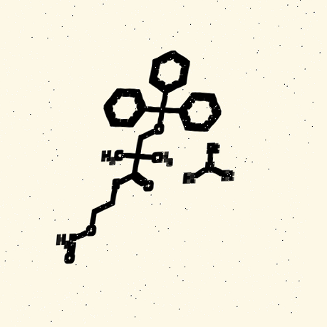 CC(C)(COC(c1ccccc1)(c1ccccc1)c1ccccc1)C(=O)SCCO[PH2]=O.CCN(CC)CC